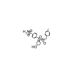 Cc1ccc(CNC(=O)[C@@H]2C[C@@H](O)CN2C(=O)c2ccc(S(N)(=O)=O)cc2)cc1